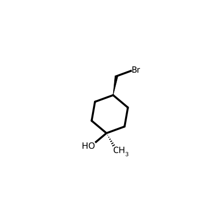 C[C@]1(O)CC[C@@H](CBr)CC1